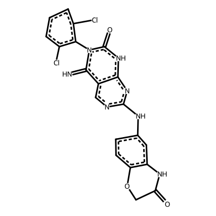 N=c1c2cnc(Nc3ccc4c(c3)NC(=O)CO4)nc2[nH]c(=O)n1-c1c(Cl)cccc1Cl